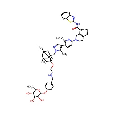 Cc1c(-c2ccc(N3CCc4cccc(C(=O)Nc5nc6ccccc6s5)c4C3)nc2C(=O)O)cnn1CC12CC3(C)CC(C)(C1)CC(OCCNCc1ccc(OC4OC(C(=O)O)C(O)C(O)C4O)cc1)(C3)C2